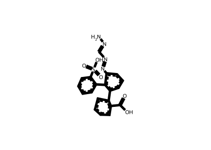 NN=CN=Nc1cccc(-c2ccccc2C(=O)O)c1-c1ccccc1S(=O)(=O)O